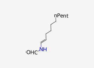 CCCCCCCCCC=CN[C]=O